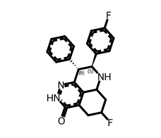 O=c1[nH]nc2c3c1CC(F)CC3N[C@H](c1ccc(F)cc1)[C@H]2c1ccccc1